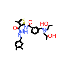 Cc1ccc(/C=N/NC(=O)c2c(C)csc2NC(=O)c2cccc(CN(CC(C)O)CC(C)O)c2)cc1C